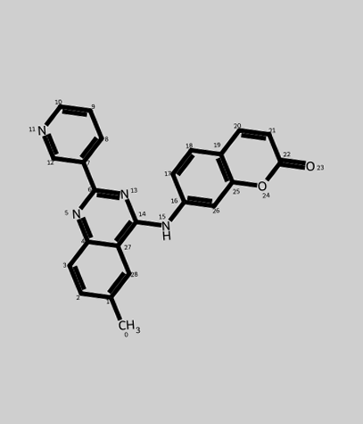 Cc1ccc2nc(-c3cccnc3)nc(Nc3ccc4ccc(=O)oc4c3)c2c1